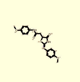 COc1ccc(/N=C2\NC(=O)C(CC(=O)Nc3ccc(OC)cc3)S2)cc1